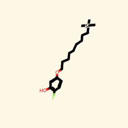 C[Si](C)(C)CCCCCCCCCOc1ccc(F)c(O)c1